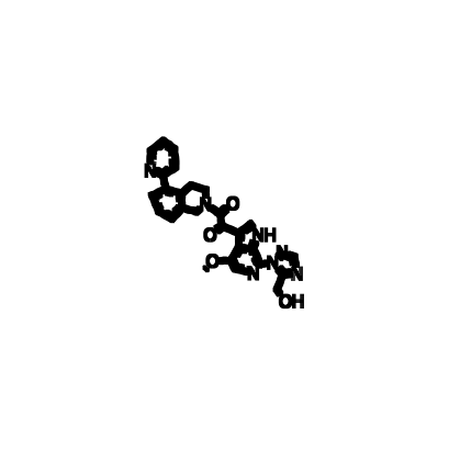 COc1cnc(-n2ncnc2CO)c2[nH]cc(C(=O)C(=O)N3CCc4c(cccc4-c4ccccn4)C3)c12